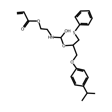 C=CC(=O)OCCNC(O)OC(COc1ccc(C(C)C)cc1)CSc1ccccc1